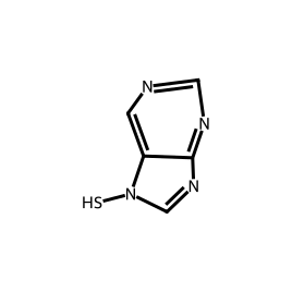 Sn1cnc2ncncc21